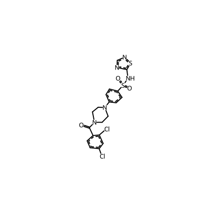 O=C(c1ccc(Cl)cc1Cl)N1CCN(c2ccc(S(=O)(=O)Nc3ncns3)cc2)CC1